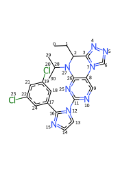 CCC1c2nncn2-c2cnc(-n3ccnc3-c3cc(Cl)cc(Cl)c3)nc2N1C(C)C